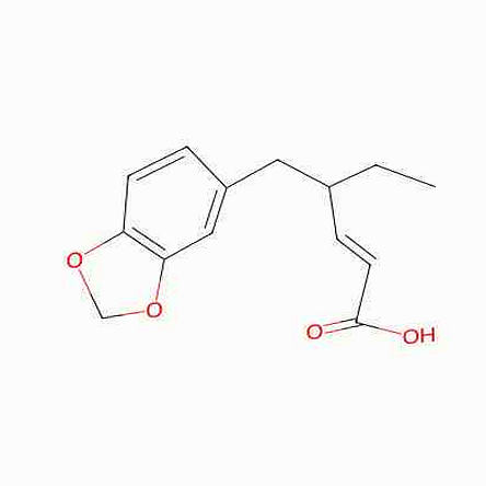 CCC(/C=C/C(=O)O)Cc1ccc2c(c1)OCO2